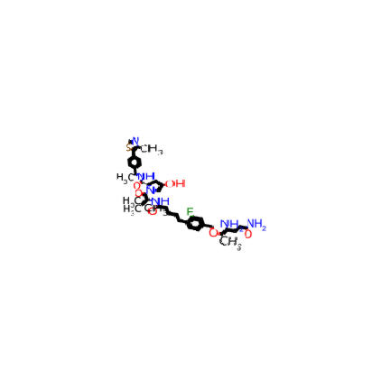 Cc1ncsc1-c1ccc([C@H](C)NC(=O)[C@@H]2C[C@@H](O)CN2C(=O)[C@@H](NC(=O)CCCCc2ccc(CO[C@H](C)[C@@H](N)CCC(N)=O)cc2F)C(C)(C)C)cc1